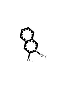 [CH2][n+]1cc2ccccc2cc1C